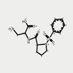 NCC(NC(=O)C1CCCN1S(=O)(=O)c1ccccc1)C(=O)O